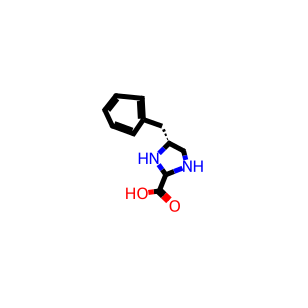 O=C(O)C1NC[C@@H](Cc2ccccc2)N1